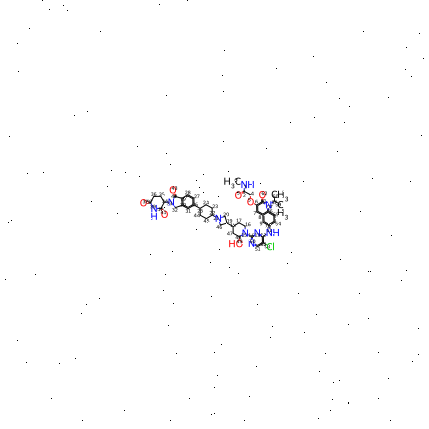 CNC(=O)COc1cc2cc(Nc3nc(N4CCC(C5CN(C6CCC(c7ccc8c(c7)CN(C7CCC(=O)NC7=O)C8=O)CC6)C5)CC4O)ncc3Cl)ccc2n(C(C)C)c1=O